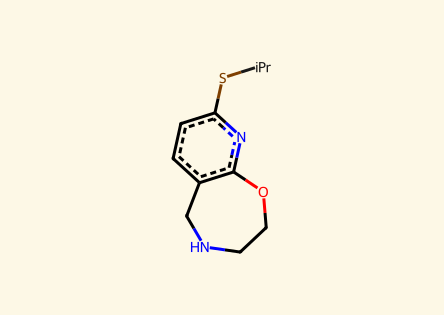 CC(C)Sc1ccc2c(n1)OCCNC2